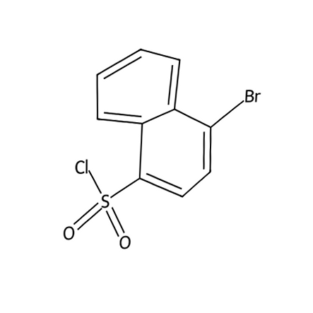 O=S(=O)(Cl)c1ccc(Br)c2ccccc12